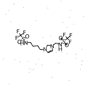 O=S(=O)(NCCCCN1C=CN(CNS(=O)(=O)C(F)(F)F)C1)C(F)(F)F